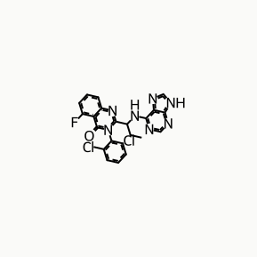 CCC(Nc1ncnc2[nH]cnc12)c1nc2cccc(F)c2c(=O)n1-c1c(Cl)cccc1Cl